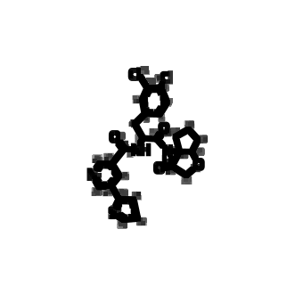 O=C(NC(Cc1ccc(Cl)c(Cl)c1)C(=O)NC12CCCC1OCC2=O)c1cncc(-c2cccs2)c1